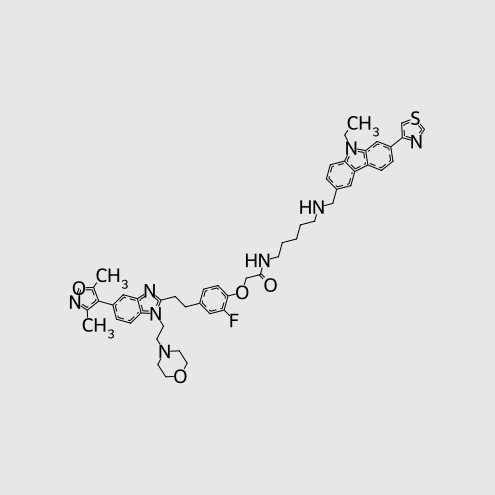 CCn1c2ccc(CNCCCCCNC(=O)COc3ccc(CCc4nc5cc(-c6c(C)noc6C)ccc5n4CCN4CCOCC4)cc3F)cc2c2ccc(-c3cscn3)cc21